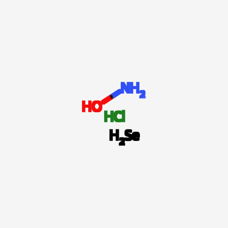 Cl.NO.[SeH2]